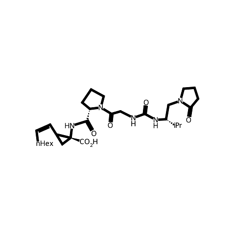 CCCCCC/C=C\C1C[C@]1(NC(=O)[C@@H]1CCCN1C(=O)CNC(=O)N[C@H](CN1CCCC1=O)C(C)C)C(=O)O